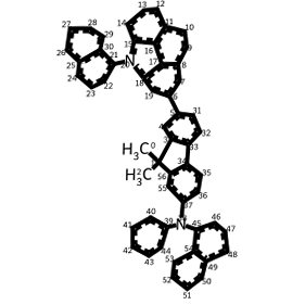 CC1(C)c2cc(-c3cc4ccc5cccc6c5c4c(c3)n6-c3cccc4ccccc34)ccc2-c2ccc(N(c3ccccc3)c3cccc4ccccc34)cc21